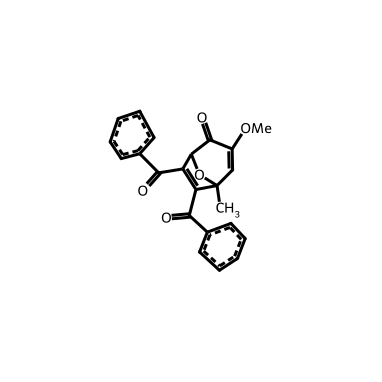 COC1=CC2(C)OC(C1=O)C(C(=O)c1ccccc1)=C2C(=O)c1ccccc1